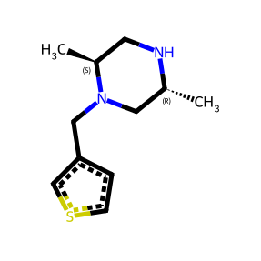 C[C@@H]1CN(Cc2ccsc2)[C@@H](C)CN1